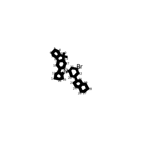 CC1(C)c2ccccc2-c2cc3c4ccccc4n(C4=CC(c5ccc6ccccc6c5)=CC(Br)C4)c3cc21